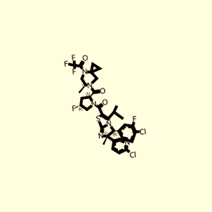 CC(C)C1=C(C(=O)N2C[C@H](F)C[C@H]2C(=O)N2CC3(CC3)N(C(=O)C(F)(F)F)C[C@@H]2C)SC2=N[C@@](C)(c3ccc(Cl)nc3)[C@@H](c3ccc(Cl)c(F)c3)N21